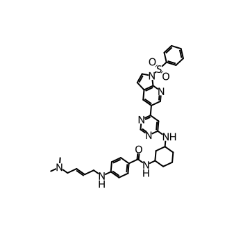 CN(C)C/C=C/CNc1ccc(C(=O)NC2CCCC(Nc3cc(-c4cnc5c(ccn5S(=O)(=O)c5ccccc5)c4)ncn3)C2)cc1